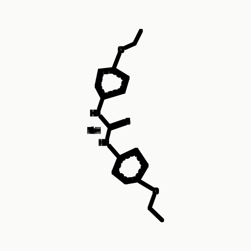 CCOc1ccc(NC(=S)Nc2ccc(OCC)cc2)cc1.[RbH]